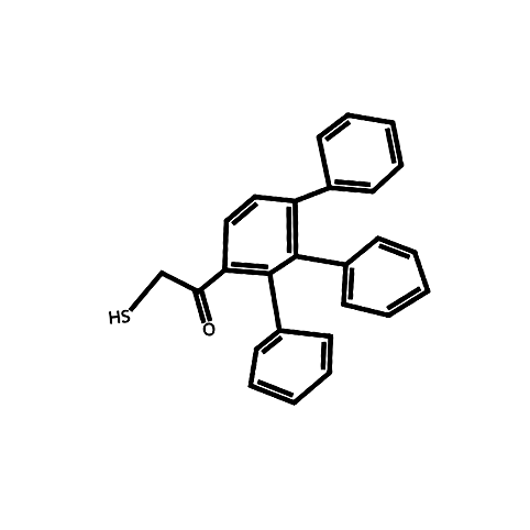 O=C(CS)c1ccc(-c2ccccc2)c(-c2ccccc2)c1-c1ccccc1